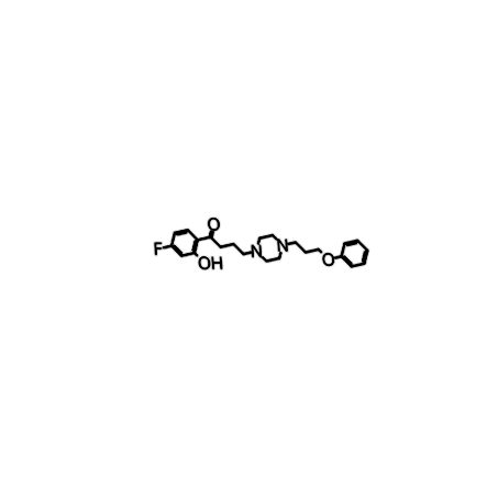 O=C(CCCN1CCN(CCCOc2ccccc2)CC1)c1ccc(F)cc1O